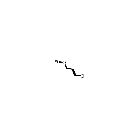 C[CH]OC/C=C/Cl